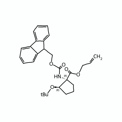 C=CCOC(=O)[C@@]1(NC(=O)OCC2c3ccccc3-c3ccccc32)CCC[C@H]1OC(C)(C)C